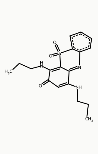 CCCNC1=CC(=O)C(NCCC)=C2C1=Nc1ccccc1S2(=O)=O